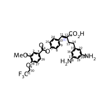 COc1cc(C(=O)Oc2ccc(/C=C(\CCc3cc(N)cc(N)c3)C(=O)O)cc2)ccc1OCC(F)(F)F